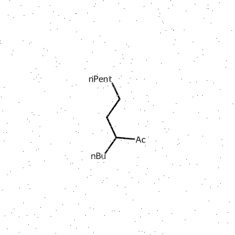 C[CH]CCC(CCCCCCC)C(C)=O